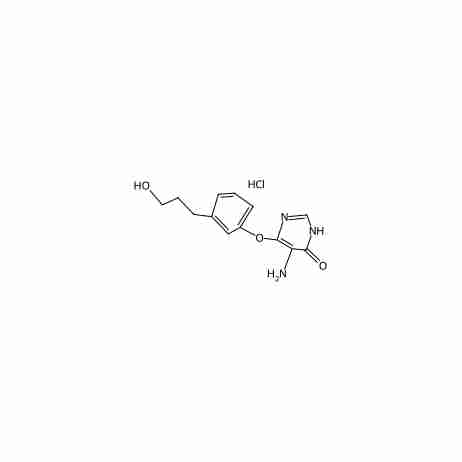 Cl.Nc1c(Oc2cccc(CCCO)c2)nc[nH]c1=O